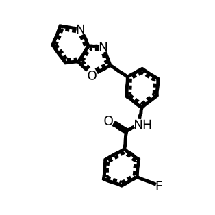 O=C(Nc1cccc(-c2nc3ncccc3o2)c1)c1cccc(F)c1